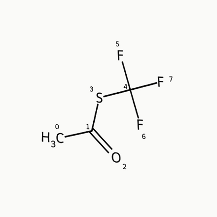 CC(=O)SC(F)(F)F